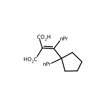 CCCC(=C(C(=O)O)C(=O)O)C1(CCC)CCCC1